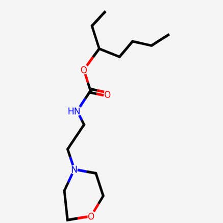 CCCCC(CC)OC(=O)NCCN1CCOCC1